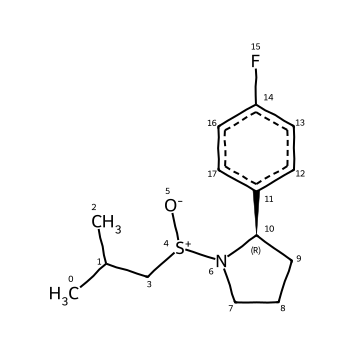 CC(C)C[S+]([O-])N1CCC[C@@H]1c1ccc(F)cc1